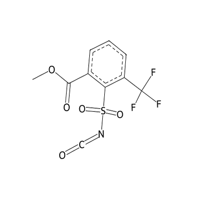 COC(=O)c1cccc(C(F)(F)F)c1S(=O)(=O)N=C=O